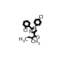 CCC(C)C(=O)c1cn(-c2ccc(Cl)cc2)c(-c2ccccc2Cl)n1